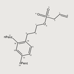 C=CCS(=O)(=O)OCCCc1ccc(CCCCC)cc1CCCCC